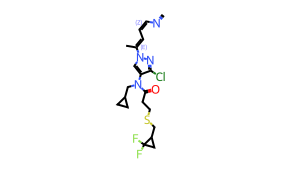 C=N/C=C\C=C(/C)n1cc(N(CC2CC2)C(=O)CCSCC2CC2(F)F)c(Cl)n1